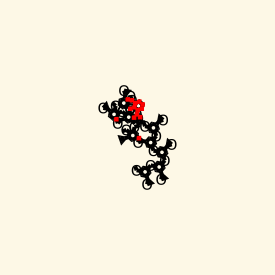 CCC(COC1CC(OC2CC(OC3CC(OC4CC(OC5CC(OC)CC(C6CO6)C5)CC(C5CO5)C4)CC(C4CO4)C3)CC(C3CO3)C2)CC(C2CO2)C1)(COC1CCCC(C2CC2)C1OC)COC1CCCC(C2CO2)C1OC1CCCC(C2CO2)C1OC1CCCC(C2CO2)C1OC1CCCC(C2CO2)C1OC1CCCC(C2CO2)C1OC